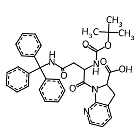 CC(C)(C)OC(=O)NC(CC(=O)NC(c1ccccc1)(c1ccccc1)c1ccccc1)C(=O)N1c2ncccc2CC1C(=O)O